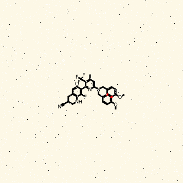 COc1ccc(CN(Cc2ccc(OC)cc2)c2cc(C)c(C(F)(F)F)c(-c3c(Cl)cc4c(c3F)NCC(C#N)C4)n2)cc1